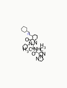 Cc1nn2cccnc2c1C(=O)N[C@@H](C)c1nc2cccc(/C=C/C3CCCCC3)c2c(=O)n1-c1ccccc1